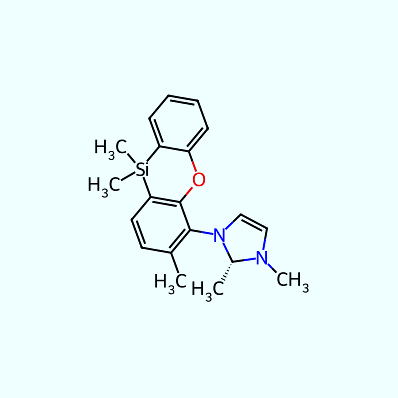 Cc1ccc2c(c1N1C=CN(C)[C@@H]1C)Oc1ccccc1[Si]2(C)C